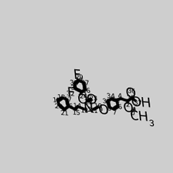 CCOC(Cc1ccc(OCCN(CCCc2ccccc2)C(=O)Oc2ccc(F)cc2F)cc1)C(=O)O